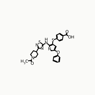 CC(=O)N1CCC(c2nsc(Nc3ncc(Oc4ccccc4)cc3Sc3ccc(C(=O)O)cc3)n2)CC1